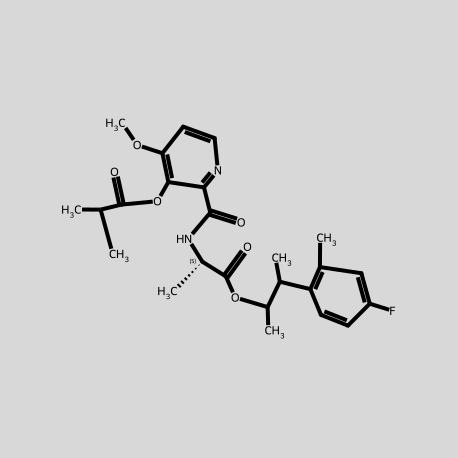 COc1ccnc(C(=O)N[C@@H](C)C(=O)OC(C)C(C)c2ccc(F)cc2C)c1OC(=O)C(C)C